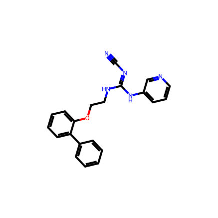 N#C/N=C(\NCCOc1ccccc1-c1ccccc1)Nc1cccnc1